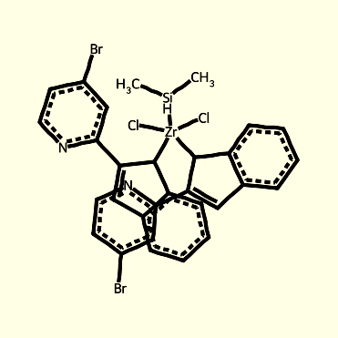 C[SiH](C)[Zr]([Cl])([Cl])([CH]1C(c2cc(Br)ccn2)=Cc2ccccc21)[CH]1C(c2cc(Br)ccn2)=Cc2ccccc21